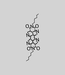 CCCCCCN1C(=O)c2cnc3c4cnc5c6c(cnc(c7cnc(c2c73)C1=O)c64)C(=O)N(CCCCCC)C5=O